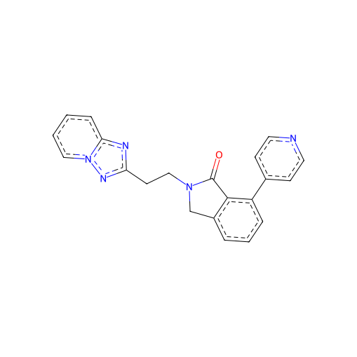 O=C1c2c(cccc2-c2ccncc2)CN1CCc1nc2ccccn2n1